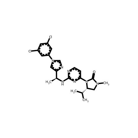 CC(C)[C@H]1CN(C)C(=O)N1c1ccnc(N[C@@H](C)c2cn(-c3cc(Cl)cc(Cl)c3)cn2)n1